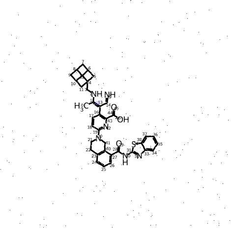 C/C(NCC12CC3CC4CC(C1)C432)=C(/C=N)c1ccc(N2CCc3cccc(C(=O)Nc4nc5ccccc5s4)c3C2)nc1C(=O)O